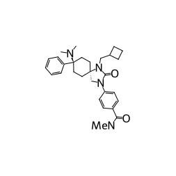 CNC(=O)c1ccc(N2C[C@]3(CC[C@](c4ccccc4)(N(C)C)CC3)N(CC3CCC3)C2=O)cc1